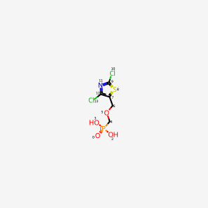 O=P(O)(O)COCc1sc(Cl)nc1Cl